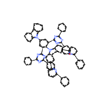 c1ccc(-c2cccc(-c3ccc4c(c3)c3cc(-c5cccc(-c6ccccc6)n5)ccc3n4-c3c(-c4nc(-c5ccccc5)nc(-c5ccccc5)n4)cc(-n4c5ccccc5c5ccccc54)cc3-c3nc(-c4ccccc4)nc(-c4ccccc4)n3)n2)cc1